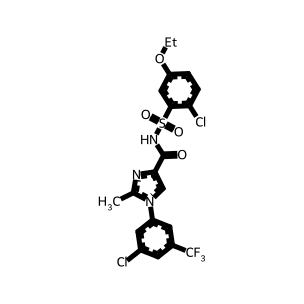 CCOc1ccc(Cl)c(S(=O)(=O)NC(=O)c2cn(-c3cc(Cl)cc(C(F)(F)F)c3)c(C)n2)c1